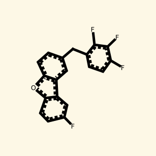 Fc1ccc2oc3ccc([CH]c4ccc(F)c(F)c4F)cc3c2c1